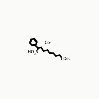 CCCCCCCCCCCCCCCCCC(c1ccccc1)S(=O)(=O)O.[Co]